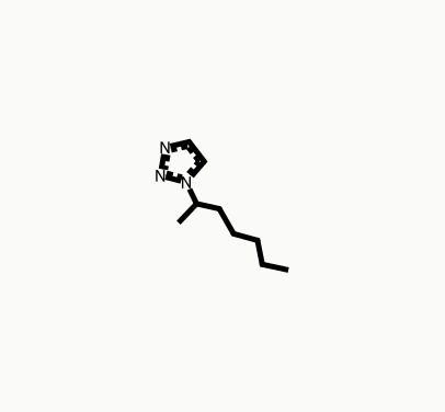 CCCCCC(C)n1ccnn1